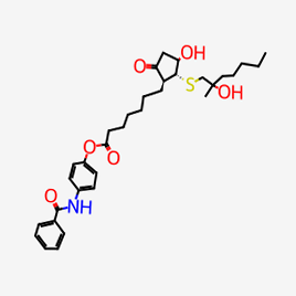 CCCCCC(C)(O)CS[C@H]1[C@H](O)CC(=O)[C@@H]1CCCCCCC(=O)Oc1ccc(NC(=O)c2ccccc2)cc1